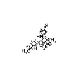 CC(=O)Nc1cccc(-c2ccc3c(c2)[C@H](Nc2ccc(C#N)nn2)C[C@H](C)N3C(C)=O)c1